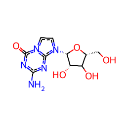 Nc1nc(=O)n2ccn([C@@H]3O[C@H](CO)C(O)[C@@H]3O)c2n1